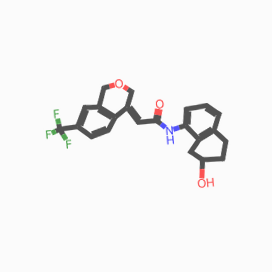 O=C(C=C1COCc2cc(C(F)(F)F)ccc21)Nc1cccc2c1CC(O)CC2